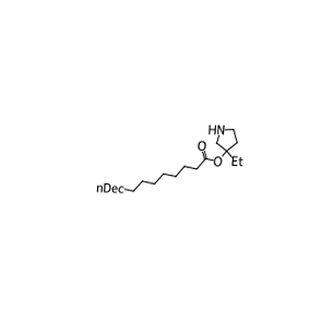 CCCCCCCCCCCCCCCCCC(=O)OC1(CC)CCNC1